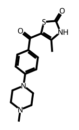 Cc1[nH]c(=O)sc1C(=O)c1ccc(N2CCN(C)CC2)cc1